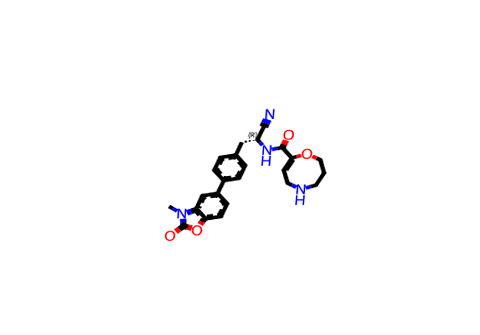 Cn1c(=O)oc2ccc(-c3ccc(C[C@H](C#N)NC(=O)C4=CCNCCCO4)cc3)cc21